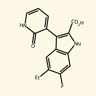 CCc1cc2c(-c3ccc[nH]c3=O)c(C(=O)O)[nH]c2cc1F